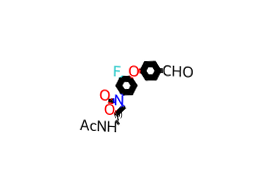 CC(=O)NC[C@H]1CN(c2ccc(Oc3ccc(C=O)cc3)c(F)c2)C(=O)O1